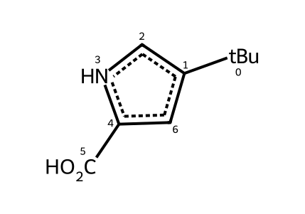 CC(C)(C)c1c[nH]c(C(=O)O)c1